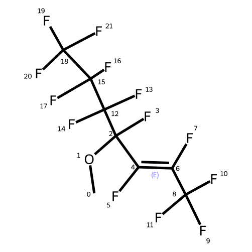 COC(F)(/C(F)=C(\F)C(F)(F)F)C(F)(F)C(F)(F)C(F)(F)F